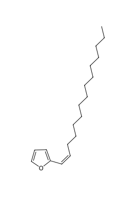 CCCCCCCCCCCCC/C=C\c1ccco1